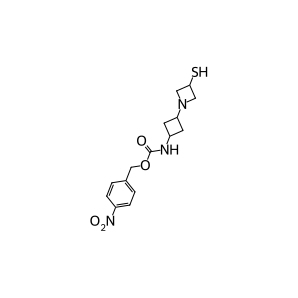 O=C(NC1CC(N2CC(S)C2)C1)OCc1ccc([N+](=O)[O-])cc1